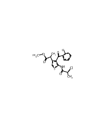 COC(=O)C(C)c1csc(NC(=O)C(C)Cl)c1C(=O)c1ccccc1Cl